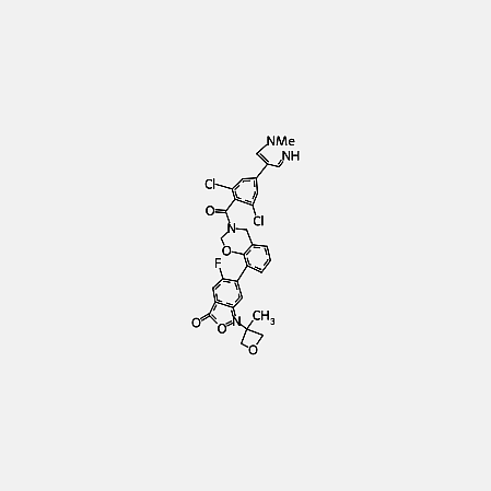 CN/C=C(\C=N)c1cc(Cl)c(C(=O)N2COc3c(cccc3-c3cc4c(cc3F)c(=O)on4C3(C)COC3)C2)c(Cl)c1